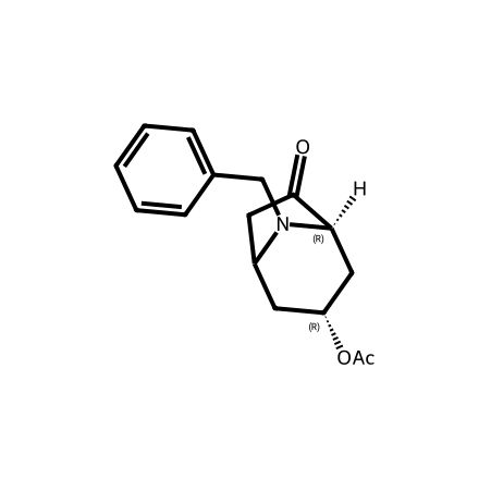 CC(=O)O[C@@H]1CC2CC(=O)[C@@H](C1)N2Cc1ccccc1